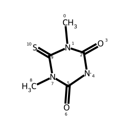 CN1C(=O)[N]C(=O)N(C)C1=S